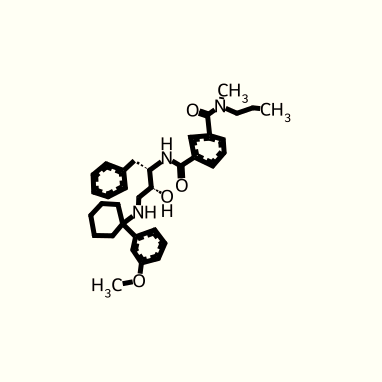 CCCN(C)C(=O)c1cccc(C(=O)N[C@@H](Cc2ccccc2)[C@H](O)CNC2(c3cccc(OC)c3)CCCCC2)c1